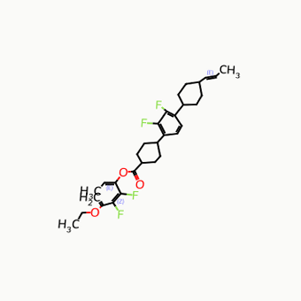 C=C(OCC)/C(F)=C(F)\C(=C/C)OC(=O)C1CCC(c2ccc(C3CCC(/C=C/C)CC3)c(F)c2F)CC1